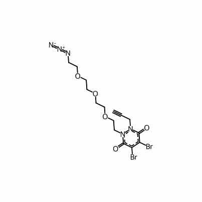 C#CCn1c(=O)c(Br)c(Br)c(=O)n1CCOCCOCCOCCN=[N+]=[N-]